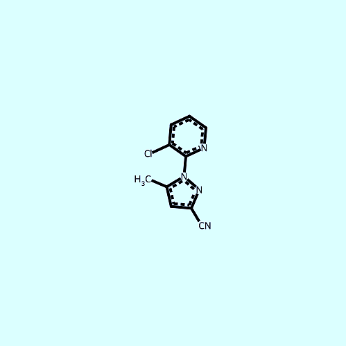 Cc1cc(C#N)nn1-c1ncccc1Cl